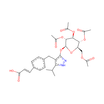 CC(=O)OC[C@H]1O[C@@H](Oc2n[nH]c(C(C)C)c2Cc2ccc(/C=C/C(=O)O)cc2)[C@H](OC(C)=O)[C@@H](OC(C)=O)[C@@H]1OC(C)=O